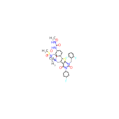 CONC(=O)Nc1ccc(-c2sc3c(c2CN(C)CCN(C)S(C)(=O)=O)c(=O)n(-c2ccc(F)cc2)c(=O)n3Cc2c(F)cccc2F)cc1